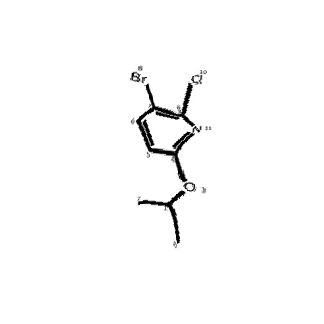 CC(C)Oc1ccc(Br)c(Cl)n1